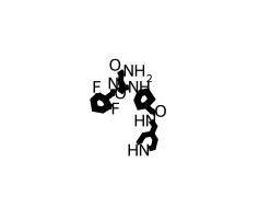 NC(=O)c1nc(-c2c(F)cccc2F)oc1Nc1ccc(C(=O)NCC2CCNCC2)cc1